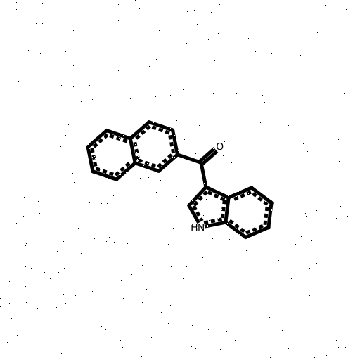 O=C(c1ccc2ccccc2c1)c1c[nH]c2ccccc12